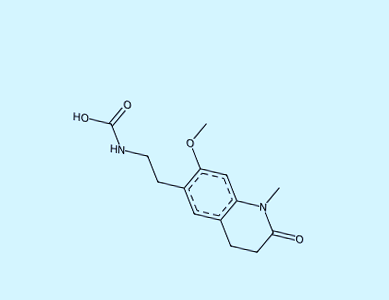 COc1cc2c(cc1CCNC(=O)O)CCC(=O)N2C